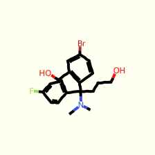 CN(C)C(CCCO)(c1ccc(F)cc1)c1ccc(Br)cc1CO